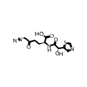 [N-]=[N+]=CC(=O)CC[C@H](NC(=O)[C@@H](O)c1cncs1)C(=O)O